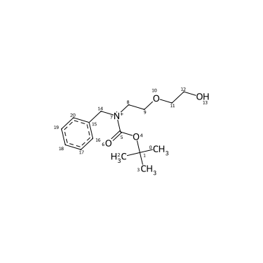 CC(C)(C)OC(=O)[N+](CCOCCO)Cc1ccccc1